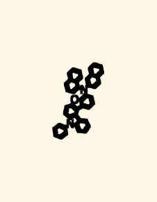 c1ccc(-n2c3ccccc3c3c4c(ccc32)oc2c(N(c3ccc5ccccc5c3)c3cccc5ccccc35)cccc24)cc1